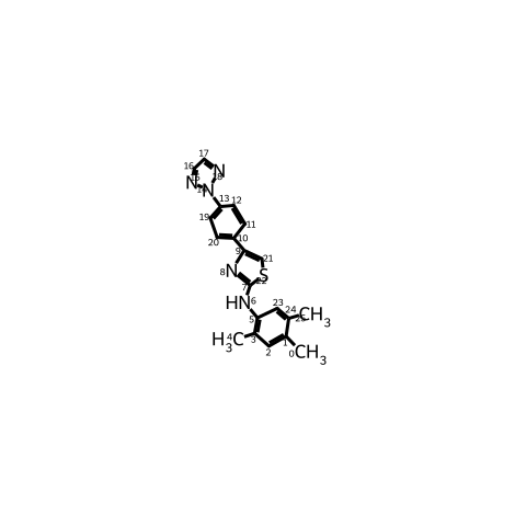 Cc1cc(C)c(Nc2nc(-c3ccc(-n4nccn4)cc3)cs2)cc1C